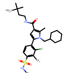 Cc1c(C(=O)NCCC(C)(C)C(=O)O)cc(-c2ccc(S(=O)(=O)NC(C)(C)C)c(C(F)(F)F)c2Cl)n1CC1CCCCC1